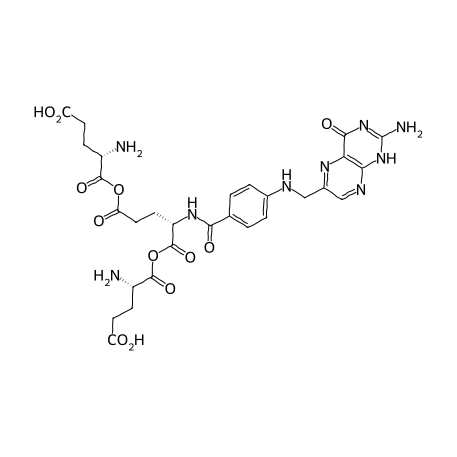 Nc1nc(=O)c2nc(CNc3ccc(C(=O)N[C@@H](CCC(=O)OC(=O)[C@@H](N)CCC(=O)O)C(=O)OC(=O)[C@@H](N)CCC(=O)O)cc3)cnc2[nH]1